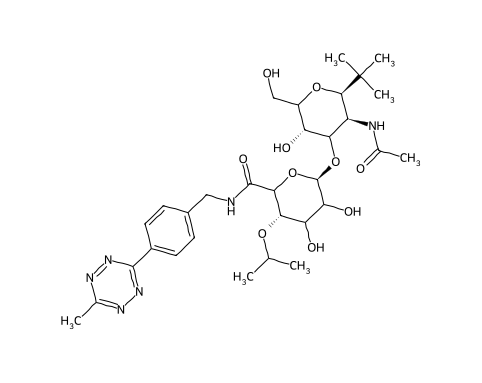 CC(=O)N[C@H]1C(O[C@@H]2OC(C(=O)NCc3ccc(-c4nnc(C)nn4)cc3)[C@@H](OC(C)C)C(O)C2O)[C@H](O)C(CO)O[C@H]1C(C)(C)C